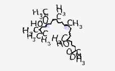 CCO/C(=C\C(O)C(C)C(C)C)CCC(C)CC/C=C(\C)CCCC(C)(O)CCCC(C)C(=O)O